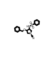 N#CN1CC(NS(=O)(=O)c2ccccc2)C(OCc2ccccc2)C1